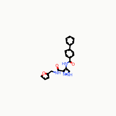 O=C(Nc1c[nH]nc1C(=O)NCc1ccco1)c1ccc(-c2ccccc2)cc1